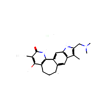 CCN(C)Cc1[nH]c2cc3c(cc2c1C)CCCc1c-3[nH]c(=O)c(C(=O)O)c1O.Cl